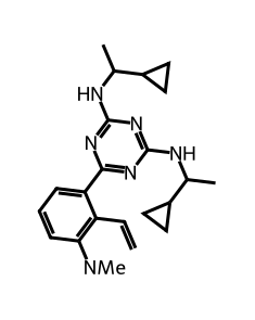 C=Cc1c(NC)cccc1-c1nc(NC(C)C2CC2)nc(NC(C)C2CC2)n1